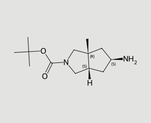 CC(C)(C)OC(=O)N1C[C@H]2C[C@H](N)C[C@@]2(C)C1